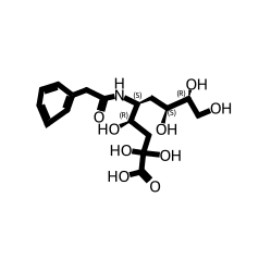 O=C(Cc1ccccc1)N[C@@H](C[C@H](O)[C@H](O)CO)[C@H](O)CC(O)(O)C(=O)O